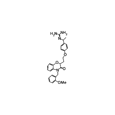 COc1ccccc1CN1C(=O)C(CCOc2ccc(C(C)N=C(N)N)cc2)Oc2ccccc21